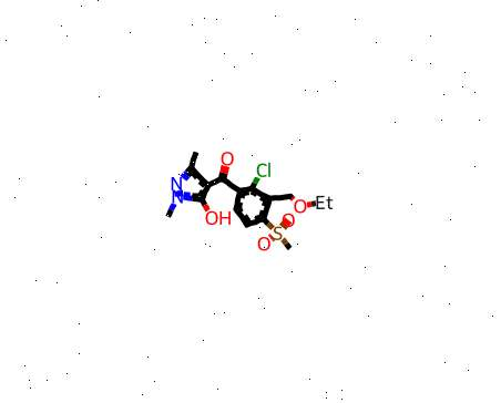 CCOCc1c(S(C)(=O)=O)ccc(C(=O)c2c(C)nn(C)c2O)c1Cl